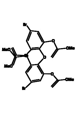 C=C(OC)Oc1cc(Br)cc(OC(=C)OC)c1Oc1c(OC(=C)OC)cc(Br)cc1OC(=C)OC